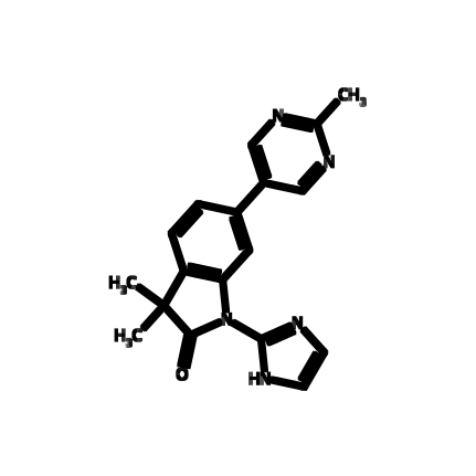 Cc1ncc(-c2ccc3c(c2)N(c2ncc[nH]2)C(=O)C3(C)C)cn1